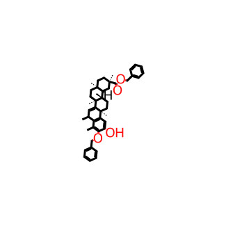 Cc1c(OCc2ccccc2)c(O)cc2c1C(C)C=C1[C@@]2(C)CC[C@@]2(C)[C@@H]3C[C@](C)(C(=O)OCc4ccccc4)CC[C@]3(C)CC[C@]12C